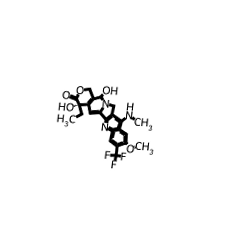 CC[C@@]1(O)C(=O)OCC2=C1C=C1c3nc4cc(C(F)(F)F)c(OC)cc4c(NC)c3CN1C2O